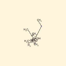 C=CCOP(=O)(OCC=C)O[C@H]1[C@H](OCC[C@@H](CCCCCCC)OC)[C@@H](OCCCCCCCCCC/C=C\CCCCCC)C(O)O[C@@H]1COC